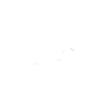 [c]1ccnc(OC2COC2)c1